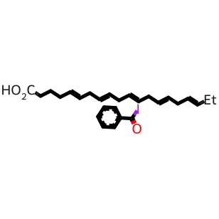 CCC=CCC=CCC=CCC=CCC=CCCCC(=O)O.O=C(I)c1ccccc1